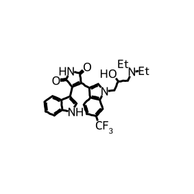 CCN(CC)CC(O)Cn1cc(C2=C(c3c[nH]c4ccccc34)C(=O)NC2=O)c2ccc(C(F)(F)F)cc21